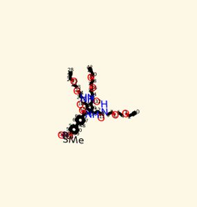 C#CCOCCOCCNC(=O)CCC(CCC(=O)NCCOCCOCC#C)(CCC(=O)NCCOCCOCC#C)NC(=O)c1ccc(-c2ccc(OP(C)(=O)SC)cc2)cc1